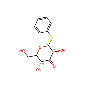 O=C1[C@H](O)C(CO)O[C@@H](Sc2ccccc2)[C@H]1O